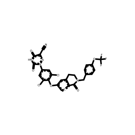 N#Cc1nn(-c2cc(Cl)c(Oc3ccc4c(c3)CCN(Cc3ccc(OC(F)(F)F)cc3)C4=O)c(Cl)c2)c(=O)[nH]c1=O